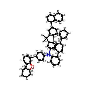 CC1(C)c2cc(-c3cccc4ccccc34)ccc2-c2ccc(N(c3ccc(-c4cccc5c4oc4ccccc45)cc3)c3ccccc3-c3ccc(-c4ccccc4)cc3)cc21